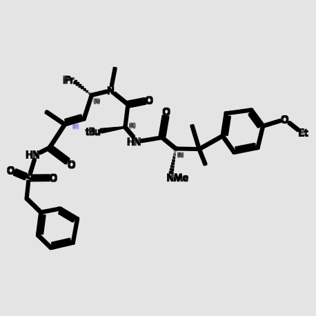 [CH2]COc1ccc(C(C)(C)[C@H](NC)C(=O)N[C@H](C(=O)N(C)[C@H](/C=C(\C)C(=O)NS(=O)(=O)Cc2ccccc2)C(C)C)C(C)(C)C)cc1